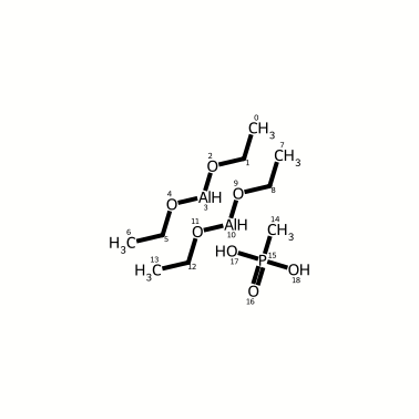 CC[O][AlH][O]CC.CC[O][AlH][O]CC.CP(=O)(O)O